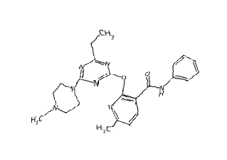 CCc1nc(Oc2nc(C)ccc2C(=O)Nc2ccccc2)nc(N2CCN(C)CC2)n1